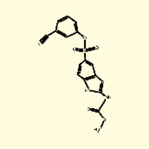 COC(=O)Nc1nc2cc(S(=O)(=O)Oc3cccc(C#N)c3)ccc2[nH]1